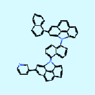 c1cncc(-c2cc3ccc4cccc5c4c3c(c2)n5-c2cccc3c(-n4c5cccc6ccc7cc(-c8cccc9ccccc89)cc4c7c65)cccc23)c1